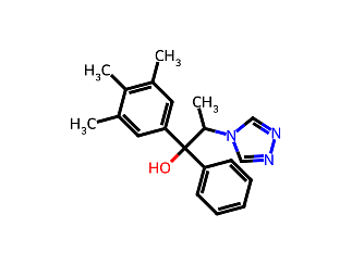 Cc1cc(C(O)(c2ccccc2)C(C)n2cnnc2)cc(C)c1C